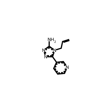 C=CCn1c(N)nnc1-c1cccnc1